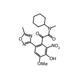 COc1cc(-c2noc(C)n2)c(C(=O)C(=O)N(C)C2CCCCC2)c([N+](=O)[O-])c1O